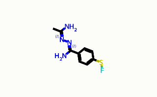 C/C(N)=N/N=C(\N)c1ccc(SF)cc1